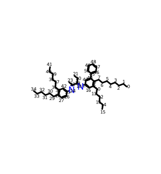 CCCCCCCCc1c(CCCCCC)cc(N=C(CC)C(C)=Nc2ccc(CCCCCC)c(CCCCCC)c2)cc1-c1ccccc1